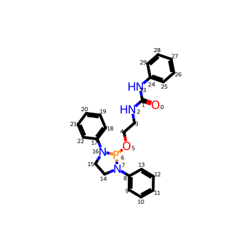 O=C(NCCOP1N(c2ccccc2)CCN1c1ccccc1)Nc1ccccc1